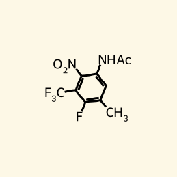 CC(=O)Nc1cc(C)c(F)c(C(F)(F)F)c1[N+](=O)[O-]